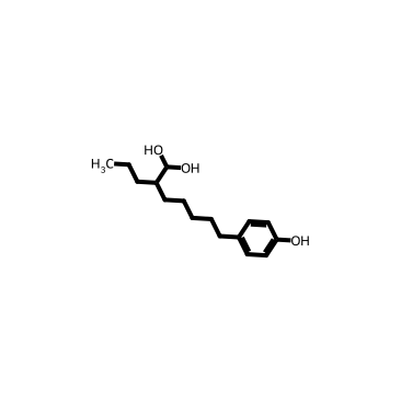 CCCC(CCCCCc1ccc(O)cc1)C(O)O